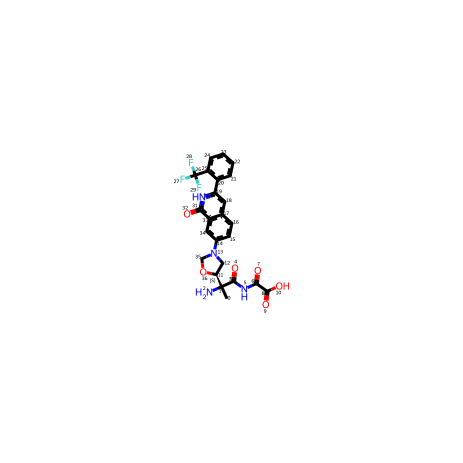 CC(N)(C(=O)NC(=O)C(=O)O)[C@@H]1CN(c2ccc3cc(-c4ccccc4C(F)(F)F)[nH]c(=O)c3c2)CO1